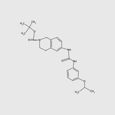 CC(C)Oc1cccc(NC(=O)Nc2ccc3c(c2)CCN(C(=O)OC(C)(C)C)C3)c1